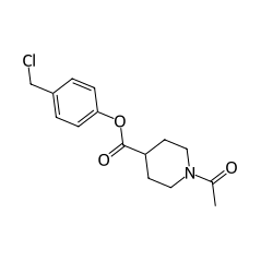 CC(=O)N1CCC(C(=O)Oc2ccc(CCl)cc2)CC1